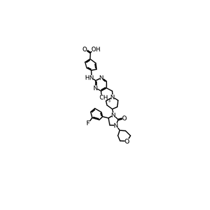 Cc1nc(Nc2ccc(C(=O)O)cc2)ncc1CN1CCC(N2C(=O)N(C3CCOCC3)CC2c2cccc(F)c2)CC1